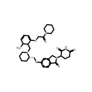 CC1C=CC=C(OCC(=O)N2CCCCC2)C1CN1CCCC[C@H]1COc1ccc2c(c1)CN(C1CCC(=O)NC1=O)C2=O